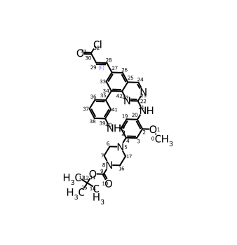 COc1cc(N2CCN(C(=O)OC(C)(C)C)CC2)ccc1Nc1ncc2cc(/C=C/C(=O)Cl)cc(-c3cccc(N)c3)c2n1